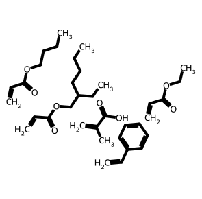 C=C(C)C(=O)O.C=CC(=O)OCC.C=CC(=O)OCC(CC)CCCC.C=CC(=O)OCCCC.C=Cc1ccccc1